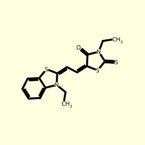 CCN1C(=O)/C(=C\C=C2\Sc3ccccc3N2CC)SC1=S